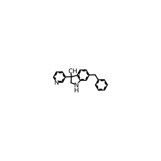 CC1(c2cccnc2)CNc2cc(Cc3ccccc3)ccc21